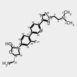 CN(C)CCn1nnc(-c2ccc(-c3ccc(N4C[C@H](CN)OC4O)cc3F)cn2)n1